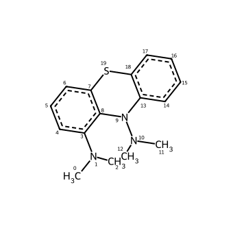 CN(C)c1cccc2c1N(N(C)C)c1ccccc1S2